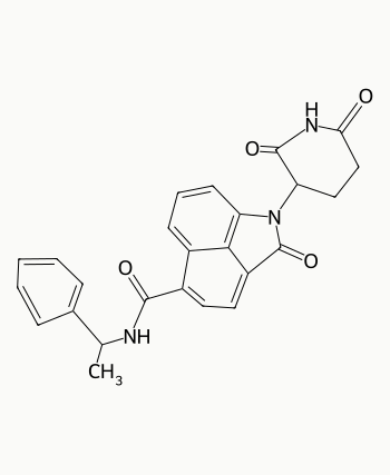 CC(NC(=O)c1ccc2c3c(cccc13)N(C1CCC(=O)NC1=O)C2=O)c1ccccc1